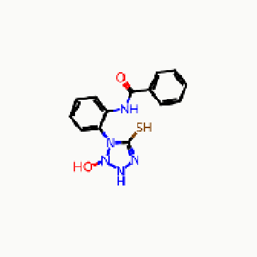 O=C(Nc1ccccc1N1C(S)=NNN1O)c1ccccc1